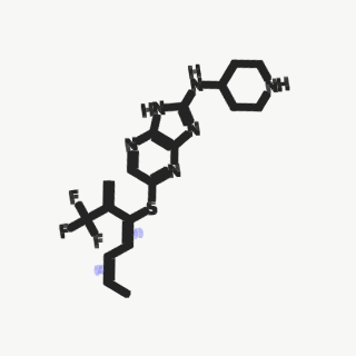 C=C(/C(=C\C=C/C)Sc1cnc2[nH]c(NC3CCNCC3)nc2n1)C(F)(F)F